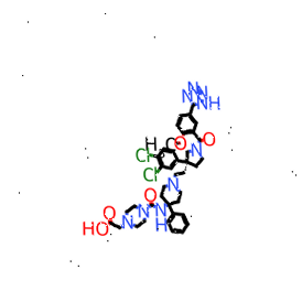 COc1ccc(-c2nnn[nH]2)cc1C(=O)N1CC[C@@](CCN2CCC(NC(=O)N3CCN(CC(=O)O)CC3)(c3ccccc3)CC2)(c2ccc(Cl)c(Cl)c2)C1